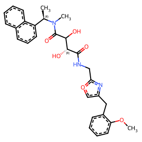 COc1ccccc1Cc1coc(CNC(=O)[C@H](O)C(O)C(=O)N(C)[C@H](C)c2cccc3ccccc23)n1